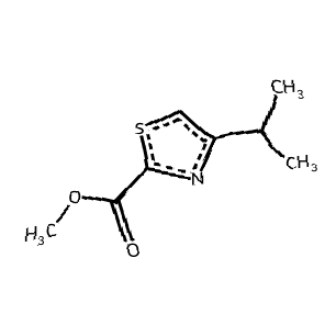 COC(=O)c1nc(C(C)C)cs1